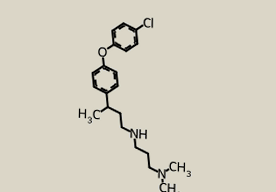 CC(CCNCCCN(C)C)c1ccc(Oc2ccc(Cl)cc2)cc1